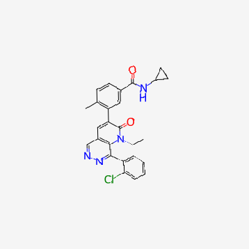 CCn1c(=O)c(-c2cc(C(=O)NC3CC3)ccc2C)cc2cnnc(-c3ccccc3Cl)c21